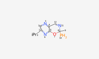 CC(C)c1cnc2c(n1)OC(C)(P)N=C2